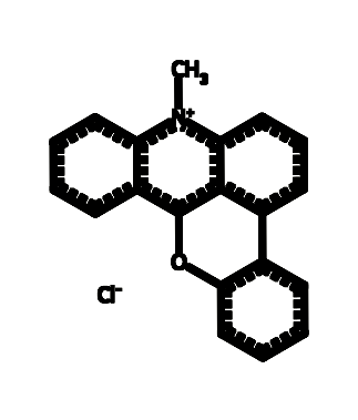 C[n+]1c2ccccc2c2c3c(cccc31)-c1ccccc1O2.[Cl-]